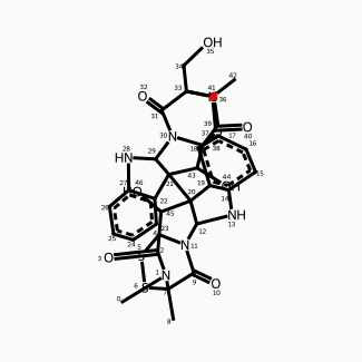 CN1C(=O)C23SSC1(C)C(=O)N2C1Nc2ccccc2C1(C12c4ccccc4NC1N1C(=O)C4(CO)SSC1(C(=O)N4C)C2O)C3O